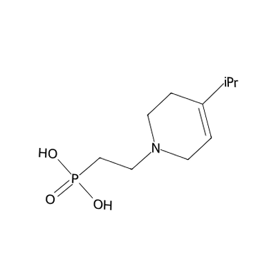 CC(C)C1=CCN(CCP(=O)(O)O)CC1